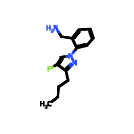 CCCCc1nn(-c2ccccc2CN)[c]c1F